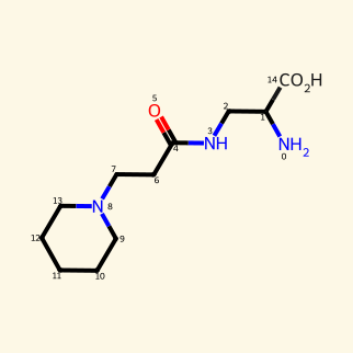 NC(CNC(=O)CCN1CCCCC1)C(=O)O